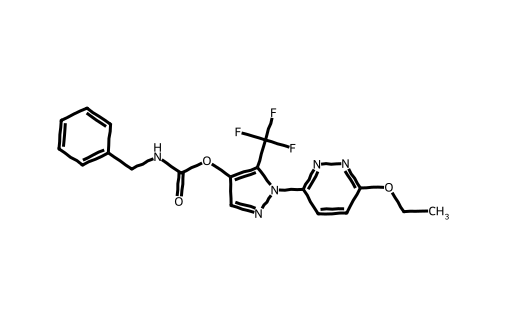 CCOc1ccc(-n2ncc(OC(=O)NCc3ccccc3)c2C(F)(F)F)nn1